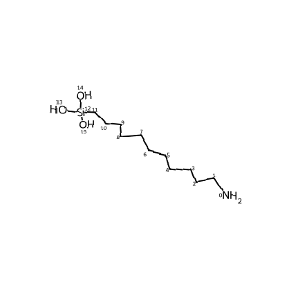 NCCCCCCCCCCC[Si](O)(O)O